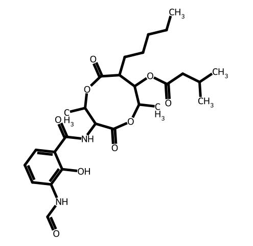 CCCCCC1C(=O)OC(C)C(NC(=O)c2cccc(NC=O)c2O)C(=O)OC(C)C1OC(=O)CC(C)C